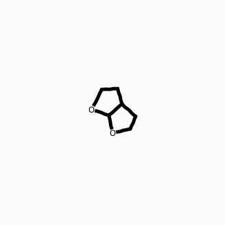 C1CC2CCOC2O1